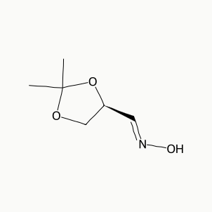 CC1(C)OC[C@H](/C=N/O)O1